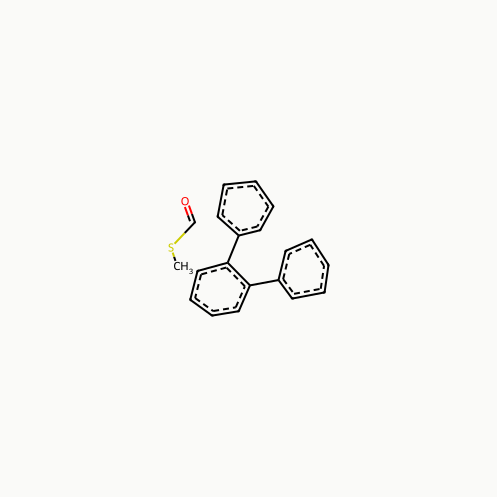 CSC=O.c1ccc(-c2ccccc2-c2ccccc2)cc1